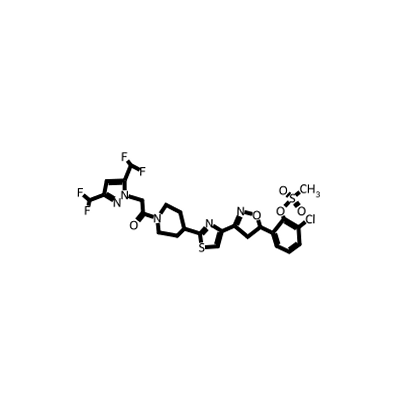 CS(=O)(=O)Oc1c(Cl)cccc1C1CC(c2csc(C3CCN(C(=O)Cn4nc(C(F)F)cc4C(F)F)CC3)n2)=NO1